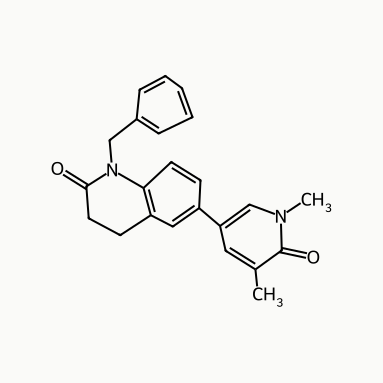 Cc1cc(-c2ccc3c(c2)CCC(=O)N3Cc2ccccc2)cn(C)c1=O